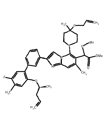 C=CCOC1(C)CCN(c2c(C(OC(C)(C)C)C(=O)OC)c(C)cc3nc(-c4cccc(-c5cc(F)c(C)cc5O[C@@H](C)CC=C)c4)cn23)CC1